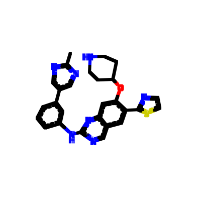 Cc1ncc(-c2cccc(Nc3ncc4cc(-c5nccs5)c(OC5CCNCC5)cc4n3)c2)cn1